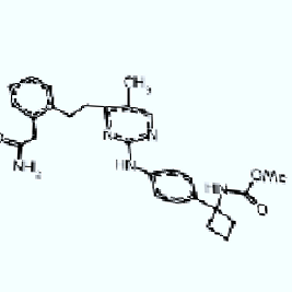 COC(=O)NC1(c2ccc(Nc3ncc(C)c(CCc4ccccc4CC(N)=O)n3)cc2)CCC1